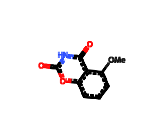 COc1cccc2oc(=O)[nH]c(=O)c12